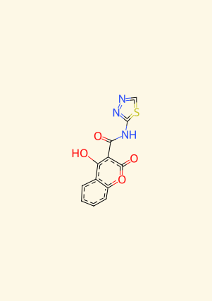 O=C(Nc1nncs1)c1c(O)c2ccccc2oc1=O